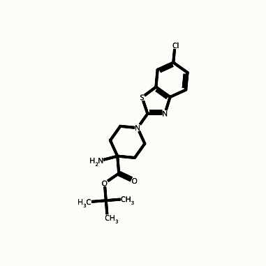 CC(C)(C)OC(=O)C1(N)CCN(c2nc3ccc(Cl)cc3s2)CC1